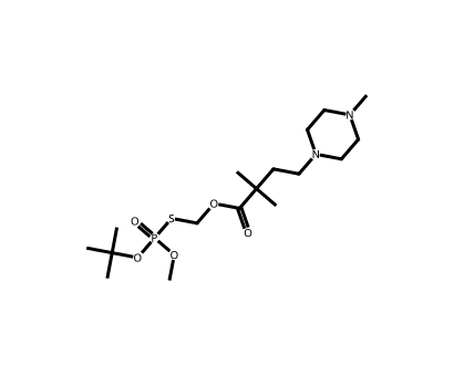 COP(=O)(OC(C)(C)C)SCOC(=O)C(C)(C)CCN1CCN(C)CC1